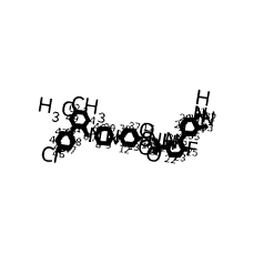 CC1(C)CCC(CN2CCN(c3ccc(S(=O)(=O)NC(=O)c4ccc(F)c(-c5ccc6[nH]ncc6c5)n4)cc3)CC2)=C(c2ccc(Cl)cc2)C1